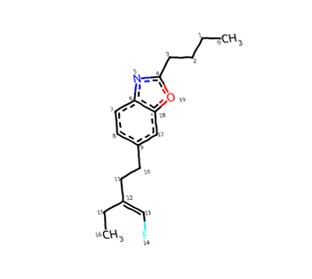 CCCCc1nc2ccc(CCC(=CF)CC)cc2o1